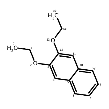 CCOc1cc2c[c]ccc2cc1OCC